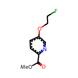 COC(=O)c1ccc(OCCF)cn1